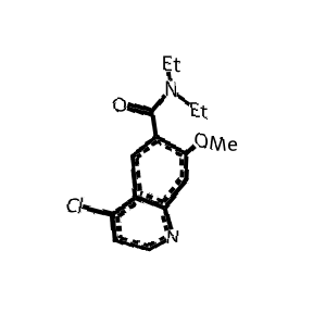 CCN(CC)C(=O)c1cc2c(Cl)ccnc2cc1OC